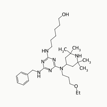 CCOCCCN(c1nc(NCCCCCCO)nc(NCc2ccccc2)n1)C1CC(C)(C)NC(C)(C)C1